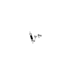 [Ba].[O]=[Ru].[Sr]